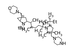 CCC(C)(C)[C@@H]1C[C@](C)(CN2CCNCC2)[C@@H](C)N1C(C)(C)CC[C@@H](C)C(C)C1C[C@@]2(CN3CCOCC3)CC2N1C(C)(C)C